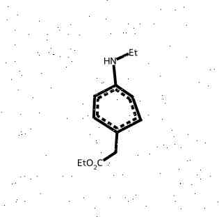 CCNc1ccc(CC(=O)OCC)cc1